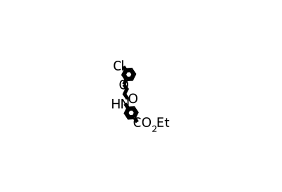 CCOC(=O)c1ccc(NC(=O)CCOc2cccc(Cl)c2)cc1